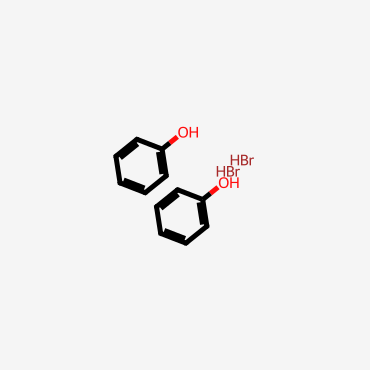 Br.Br.Oc1ccccc1.Oc1ccccc1